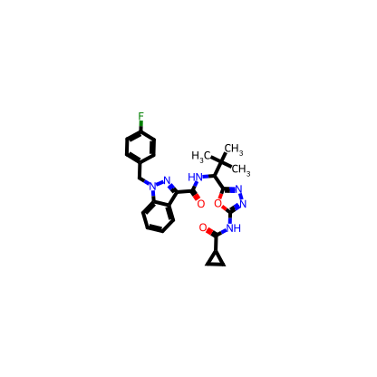 CC(C)(C)C(NC(=O)c1nn(Cc2ccc(F)cc2)c2ccccc12)c1nnc(NC(=O)C2CC2)o1